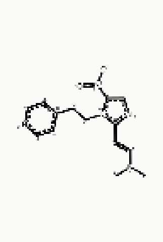 CN(C)C=Cc1ncc([N+](=O)[O-])n1CCc1ccncc1